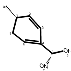 C[C@@H]1C=CC([C@H](O)N=O)=CC1